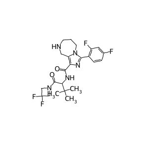 CC(C)(C)C(NC(=O)c1nc(-c2ccc(F)cc2F)n2c1CNCCC2)C(=O)N1CC(F)(F)C1